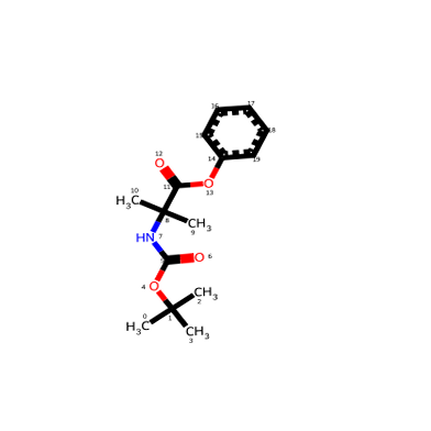 CC(C)(C)OC(=O)NC(C)(C)C(=O)Oc1ccccc1